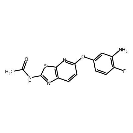 CC(=O)Nc1nc2ccc(Oc3ccc(F)c(N)c3)nc2s1